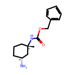 C[C@]1(NC(=O)OCc2ccccc2)CCC[C@@H](N)C1